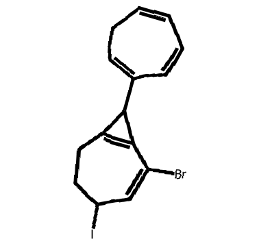 BrC1=CC(I)CCC2=C1C2C1=CCC=CC=C1